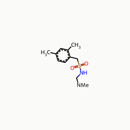 CNCNS(=O)(=O)Cc1ccc(C)cc1C